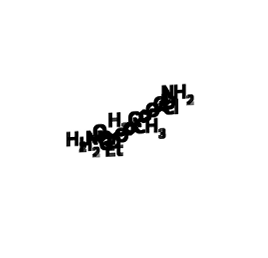 C=C(CC)OC(COC(=O)CN)COc1ccc(C(C)(C)c2ccc(OCC(CCl)OC(=O)CN)cc2)cc1